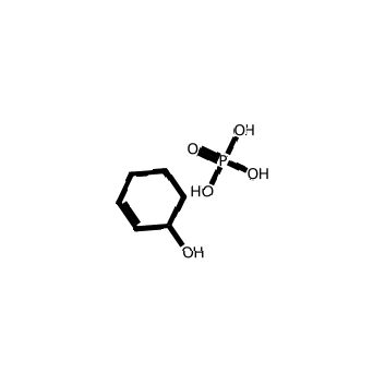 O=P(O)(O)O.OC1C=CCCC1